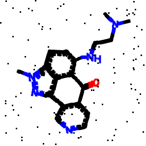 CN(C)CCNc1ccc2c3c(nn2C)-c2cnccc2C(=O)c13